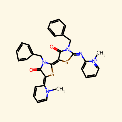 CN1C=CC=C/C1=c1/s/c(=C2\S/C(=N\c3cccc[n+]3C)N(Cc3ccccc3)C2=O)n(Cc2ccccc2)c1=O